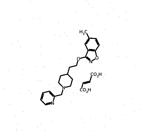 Cc1ccc2onc(OCCC3CCN(Cc4ccccn4)CC3)c2c1.O=C(O)C=CC(=O)O